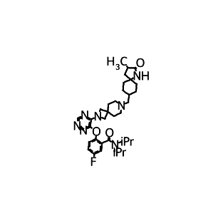 CC1CC2(CCC(CN3CCC4(CC3)CN(c3ncnnc3Oc3ccc(F)cc3C(=O)N(C(C)C)C(C)C)C4)CC2)NC1=O